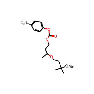 COC(C)(C)CCOC(C)CCOC(=O)Oc1ccc([N+](=O)[O-])cc1